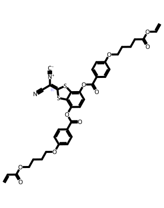 [C-]#[N+]/C(C#N)=C1/Sc2c(OC(=O)c3ccc(OCCCCOC(=O)C=C)cc3)ccc(OC(=O)c3ccc(OCCCCC(=O)OC=C)cc3)c2S1